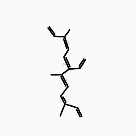 C=C\C(C)=C/C=C(C)/C(C=C)=C/C=C(/C)C=C